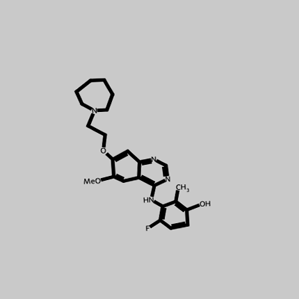 COc1cc2c(Nc3c(F)ccc(O)c3C)ncnc2cc1OCCN1CCCCCC1